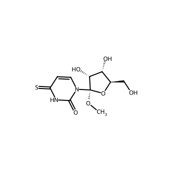 CO[C@@]1(n2ccc(=S)[nH]c2=O)O[C@H](CO)[C@@H](O)[C@H]1O